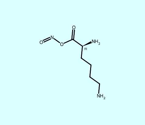 NCCCC[C@H](N)C(=O)ON=O